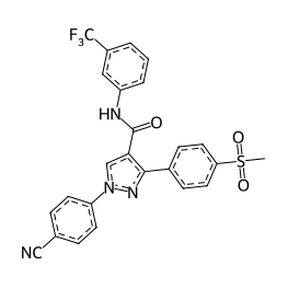 CS(=O)(=O)c1ccc(-c2nn(-c3ccc(C#N)cc3)cc2C(=O)Nc2cccc(C(F)(F)F)c2)cc1